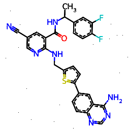 CC(NC(=O)c1cc(C#N)cnc1NCc1ccc(-c2ccc3ncnc(N)c3c2)s1)c1ccc(F)c(F)c1